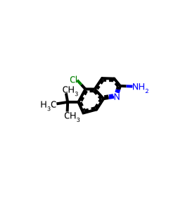 CC(C)(C)c1ccc2nc(N)ccc2c1Cl